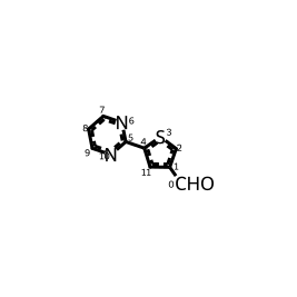 O=Cc1csc(-c2ncccn2)c1